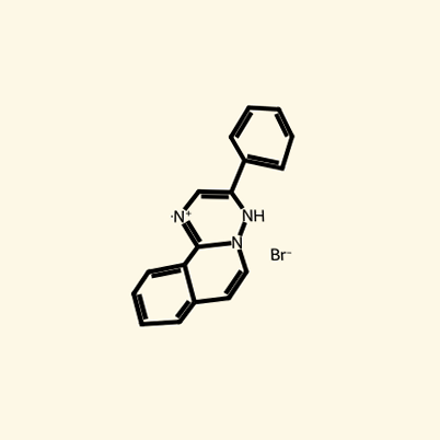 C1=CN2NC(c3ccccc3)=C[N+]=C2c2ccccc21.[Br-]